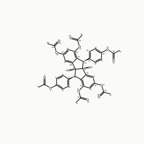 CC(=O)Oc1ccc([C@@H]2c3c(OC(C)=O)cc(OC(C)=O)cc3[C@H]3[C@H](c4ccc(OC(C)=O)cc4)c4c(OC(C)=O)cc(OC(C)=O)cc4[C@@H]23)cc1